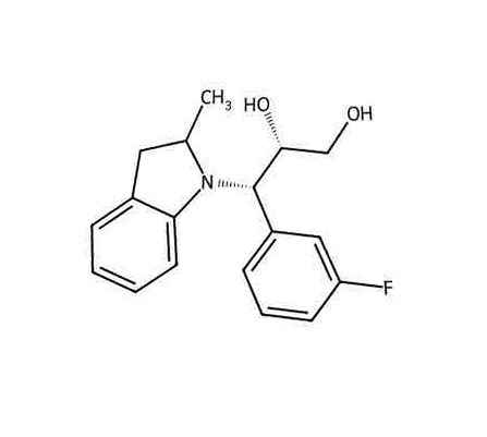 CC1Cc2ccccc2N1[C@@H](c1cccc(F)c1)[C@H](O)CO